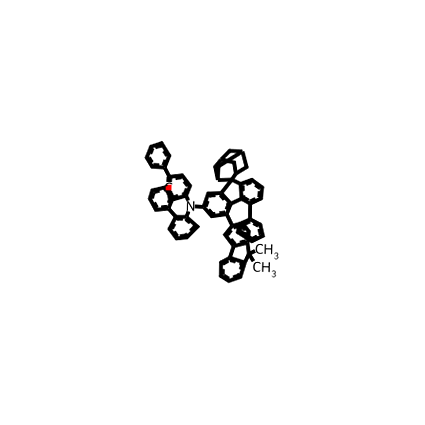 CC1(C)c2ccccc2-c2cc(-c3cc(N(c4ccc(-c5ccccc5)cc4)c4ccccc4-c4ccccc4)cc4c3-c3c(-c5ccccc5)cccc3C43C4CC5CC(C4)CC3C5)ccc21